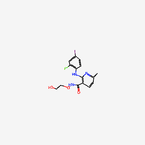 Cc1ccc(C(=O)NOCCO)c(Nc2ccc(I)cc2F)n1